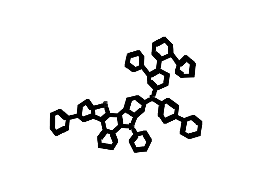 c1ccc(-c2ccc(N(c3ccc(-c4ccccc4-c4ccccc4)c(-c4ccccc4)c3)c3ccc4c5c6sc7ccc(-c8ccccc8)cc7c6c6ccccc6c5n(-c5ccccc5)c4c3)cc2)cc1